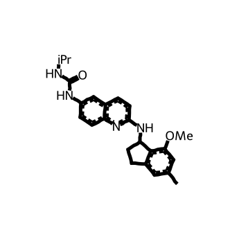 COc1cc(C)cc2c1C(Nc1ccc3cc(NC(=O)NC(C)C)ccc3n1)CC2